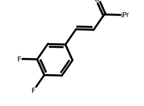 CC(C)C(=O)C=Cc1ccc(F)c(F)c1